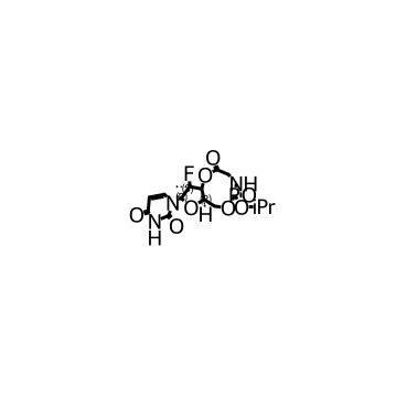 CC(C)OP1(=O)NCC(=O)OC2[C@@H](CO1)O[C@@H](n1ccc(=O)[nH]c1=O)[C@@]2(C)F